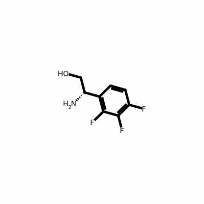 N[C@H](CO)c1ccc(F)c(F)c1F